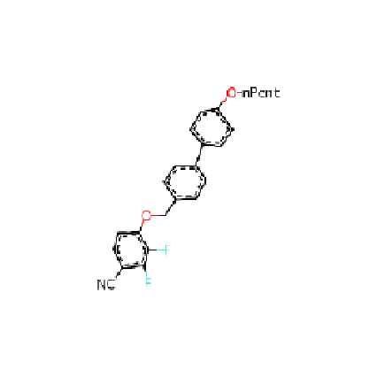 CCCCCOc1ccc(-c2ccc(COc3ccc(C#N)c(F)c3F)cc2)cc1